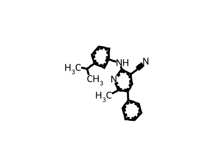 Cc1nc(Nc2cccc(C(C)C)c2)c(C#N)cc1-c1ccccc1